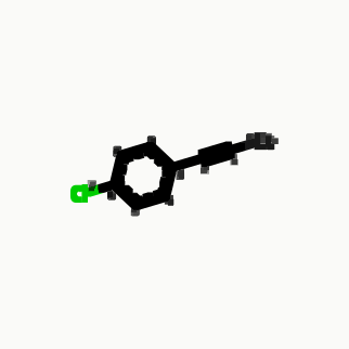 C[CH]C#Cc1ccc(Cl)cc1